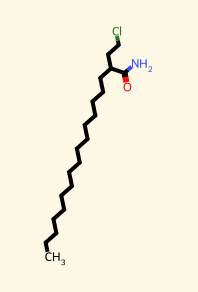 CCCCCCCCCCCCCCCCC(CCCl)C(N)=O